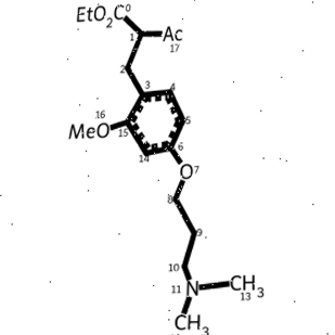 CCOC(=O)C(Cc1ccc(OCCCN(C)C)cc1OC)C(C)=O